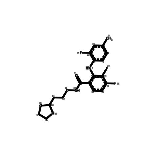 Cc1ccc(Nc2c(C(=O)NOCCC3OCCO3)ccc(F)c2F)c(F)c1